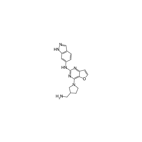 NCC1CCN(c2nc(Nc3ccc4cn[nH]c4c3)nc3ccoc23)C1